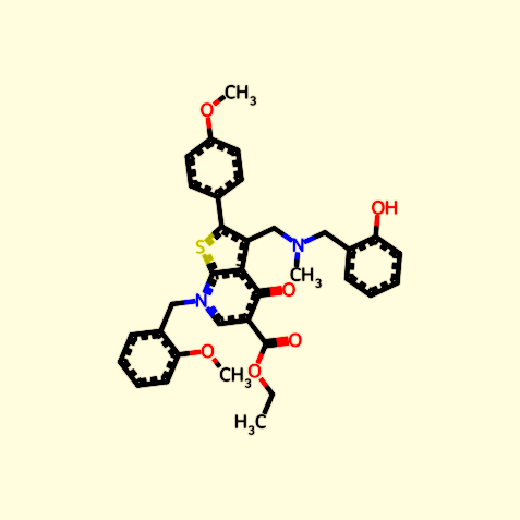 CCOC(=O)c1cn(Cc2ccccc2OC)c2sc(-c3ccc(OC)cc3)c(CN(C)Cc3ccccc3O)c2c1=O